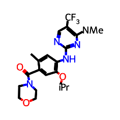 CNc1nc(Nc2cc(C)c(C(=O)N3CCOCC3)cc2OC(C)C)ncc1C(F)(F)F